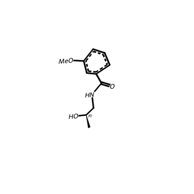 COc1cccc(C(=O)NC[C@@H](C)O)c1